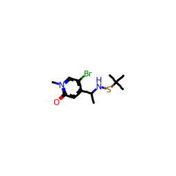 CC(NSC(C)(C)C)c1cc(=O)n(C)cc1Br